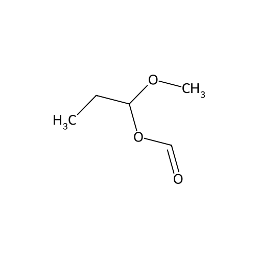 CCC(OC)OC=O